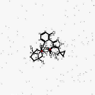 CC(C)(C)OC(=O)N1[C@@H]2CC[C@H]1CC(OC(=O)c1c(-c3c(Cl)cccc3Cl)noc1C1(C)CC1)C2